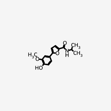 COc1cc(-c2ccc(C(=O)NC(C)C)o2)ccc1O